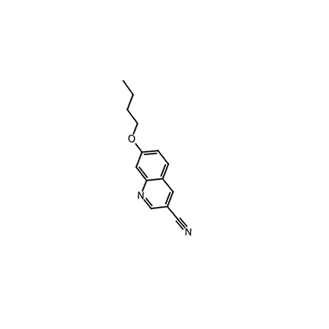 CCCCOc1ccc2cc(C#N)cnc2c1